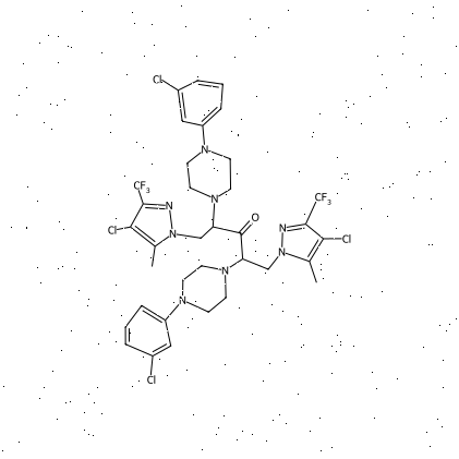 Cc1c(Cl)c(C(F)(F)F)nn1CC(C(=O)C(Cn1nc(C(F)(F)F)c(Cl)c1C)N1CCN(c2cccc(Cl)c2)CC1)N1CCN(c2cccc(Cl)c2)CC1